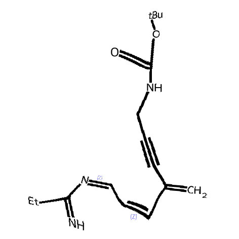 C=C(C#CCNC(=O)OC(C)(C)C)/C=C\C=N/C(=N)CC